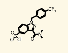 CN(C)C(=O)c1nn(Cc2ccc(C(F)(F)F)cc2)c2ccc(S(=O)(=O)Cl)cc12